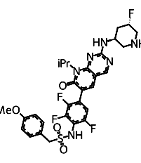 COc1ccc(CS(=O)(=O)Nc2c(F)cc(-c3cc4cnc(N[C@@H]5CNC[C@@H](F)C5)nc4n(C(C)C)c3=O)c(F)c2F)cc1